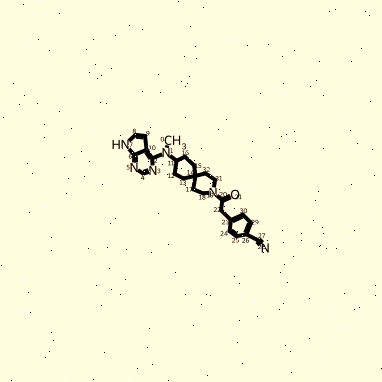 CN(c1ncnc2[nH]ccc12)C1CCC2(CC1)CCN(C(=O)Cc1ccc(C#N)cc1)CC2